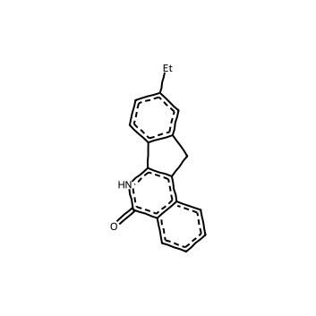 CCc1ccc2c(c1)Cc1c-2[nH]c(=O)c2ccccc12